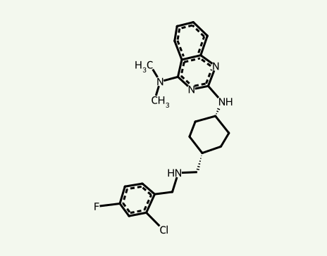 CN(C)c1nc(N[C@H]2CC[C@@H](CNCc3ccc(F)cc3Cl)CC2)nc2ccccc12